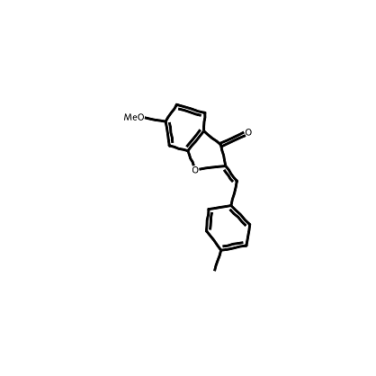 COc1ccc2c(c1)O/C(=C\c1ccc(C)cc1)C2=O